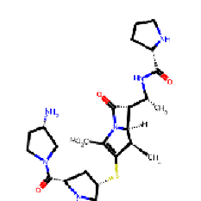 C[C@@H](NC(=O)[C@@H]1CCCN1)[C@H]1C(=O)N2C(C(=O)O)=C(S[C@@H]3CN[C@H](C(=O)N4CC[C@H](N)C4)C3)[C@H](C)[C@H]12